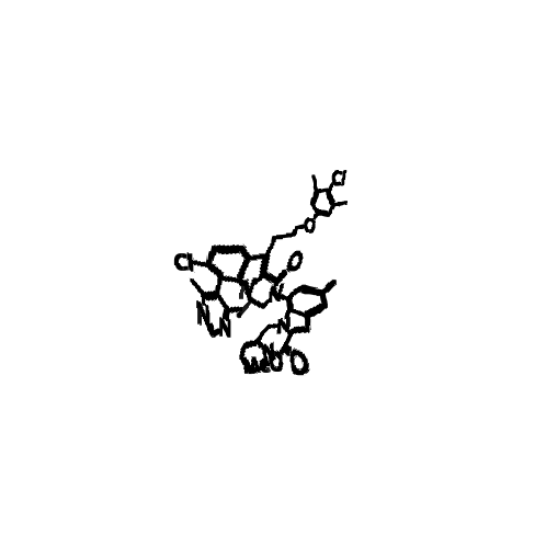 COC(=O)c1cc2cc(C)cc(N3C[C@@H](C)n4c(c(CCCOc5cc(C)c(Cl)c(C)c5)c5ccc(Cl)c(-c6c(C)ncnc6C)c54)C3=O)c2n1Cc1ccccn1